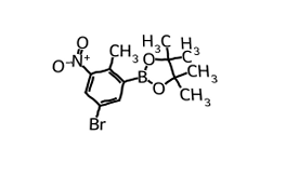 Cc1c(B2OC(C)(C)C(C)(C)O2)cc(Br)cc1[N+](=O)[O-]